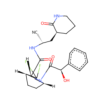 N#C[C@H](C[C@@H]1CCCNC1=O)NC(=O)[C@H]1[C@H]2CC[C@H](CC2(F)F)N1C(=O)[C@H](O)c1ccccc1